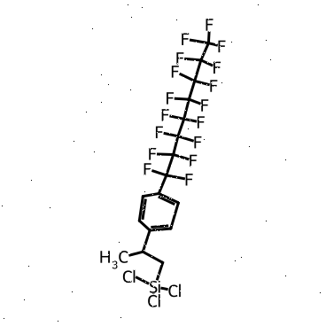 CC(C[Si](Cl)(Cl)Cl)c1ccc(C(F)(F)C(F)(F)C(F)(F)C(F)(F)C(F)(F)C(F)(F)C(F)(F)C(F)(F)F)cc1